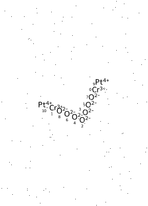 [Cr+3].[Cr+3].[O-2].[O-2].[O-2].[O-2].[O-2].[O-2].[O-2].[Pt+4].[Pt+4]